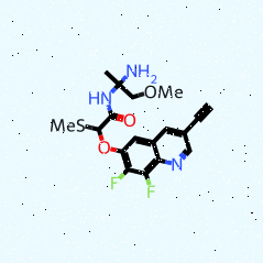 C#Cc1cnc2c(F)c(F)c(OC(SC)C(=O)NC(C)(N)COC)cc2c1